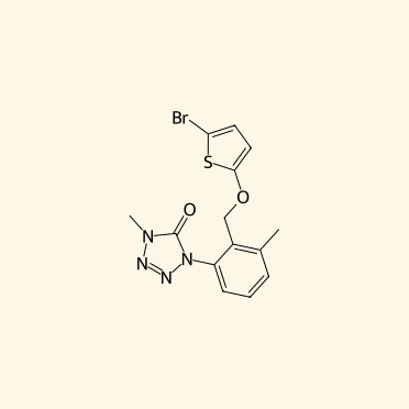 Cc1cccc(-n2nnn(C)c2=O)c1COc1ccc(Br)s1